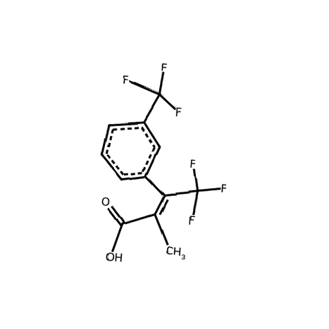 CC(C(=O)O)=C(c1cccc(C(F)(F)F)c1)C(F)(F)F